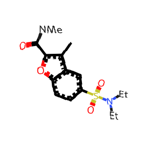 CCN(CC)S(=O)(=O)c1ccc2oc(C(=O)NC)c(C)c2c1